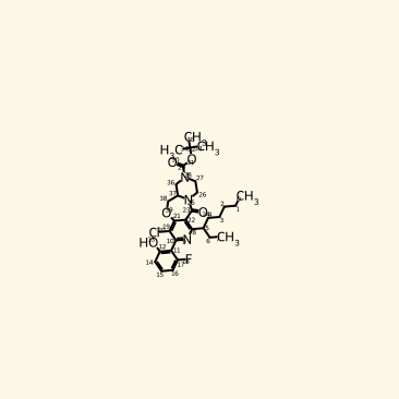 CCCCCC(CC)c1nc(-c2c(O)cccc2F)c(Cl)c2c1C(=O)N1CCN(C(=O)OC(C)(C)C)CC1CO2